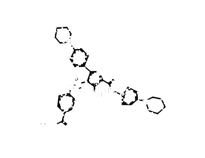 COC(=O)c1ccc(NS(=O)(=O)c2c(-c3ccc(N4CCCCC4)cc3)sc(C(=O)Nc3ccc(N4CCCCC4)cc3)c2C)cc1